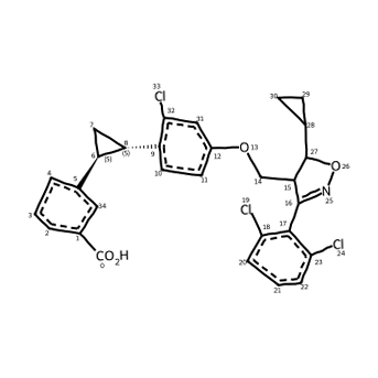 O=C(O)c1cccc([C@H]2C[C@@H]2c2ccc(OCC3C(c4c(Cl)cccc4Cl)=NOC3C3CC3)cc2Cl)c1